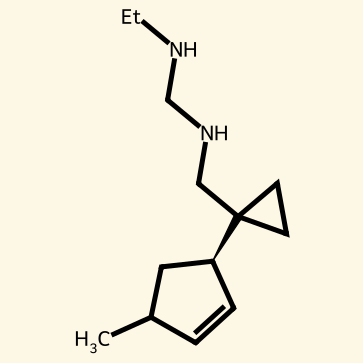 CCNCNCC1([C@H]2C=CC(C)C2)CC1